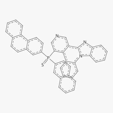 S=P(c1ccc2ccccc2c1)(c1ccc2c(ccc3ccccc32)c1)c1cncc2c1c1ccccc1n1c3ccccc3nc21